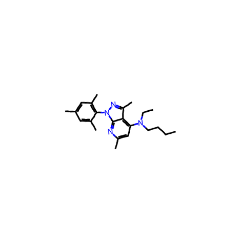 CCCCN(CC)c1cc(C)nc2c1c(C)nn2-c1c(C)cc(C)cc1C